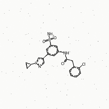 NS(=O)(=O)c1cc(NC(=O)Cc2ccccc2Cl)cc(-c2cnn(C3CC3)c2)c1